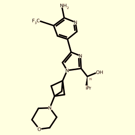 CC(C)[C@H](O)c1nc(-c2cnc(N)c(C(F)(F)F)c2)cn1C12CC(N3CCOCC3)(C1)C2